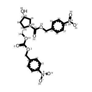 O=C(OCc1ccc([N+](=O)[O-])cc1)OC[C@@H]1C[C@H](O)CN1C(=O)OCc1ccc([N+](=O)[O-])cc1